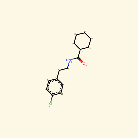 O=C(NCCc1ccc(Cl)cc1)C1CCCCC1